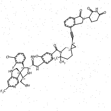 COc1cc(C(=O)N2C[C@@]3(CCC2(C)C)C[C@@H]3C#Cc2cccc3c2CN(C2CCC(=O)NC2=O)C3=O)ccc1NC(=O)[C@@H]1N[C@@H](CC(C)(C)C)[C@@]2(CNc3cc(C(F)(F)F)ncc32)[C@H]1c1cccc(Cl)c1F